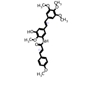 COc1ccc(/C=C/C(=O)Nc2cc(/C=C/c3cc(OC)c(OC)c(OC)c3)cc(O)c2OC)cc1